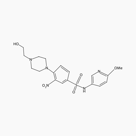 COc1ccc(NS(=O)(=O)c2ccc(N3CCN(CCO)CC3)c([N+](=O)[O-])c2)cn1